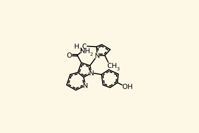 Cc1ccc(C)n1-c1c(C(N)=O)c2cccnc2n1-c1ccc(O)cc1